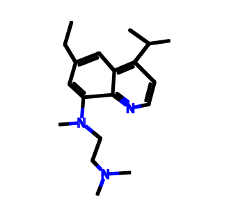 CCc1cc(N(C)CCN(C)C)c2nccc(C(C)C)c2c1